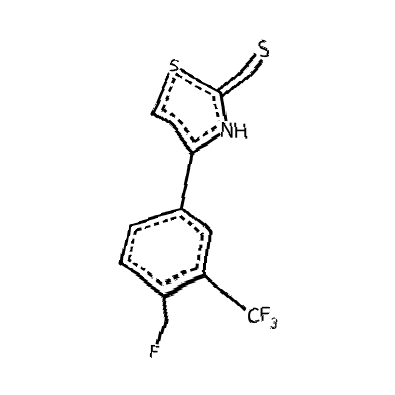 Fc1ccc(-c2csc(=S)[nH]2)cc1C(F)(F)F